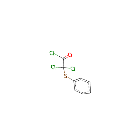 O=C(Cl)C(Cl)(Cl)Sc1ccccc1